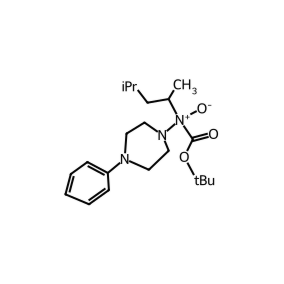 CC(C)CC(C)[N+]([O-])(C(=O)OC(C)(C)C)N1CCN(c2ccccc2)CC1